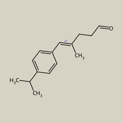 C/C(=C\c1ccc(C(C)C)cc1)CCC=O